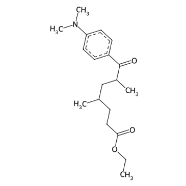 CCOC(=O)CCC(C)CC(C)C(=O)c1ccc(N(C)C)cc1